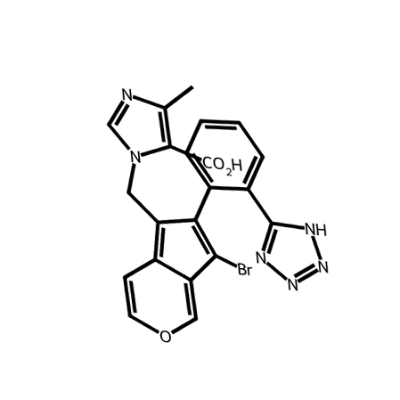 Cc1ncn(Cc2c3ccocc-3c(Br)c2-c2ccccc2-c2nnn[nH]2)c1C(=O)O